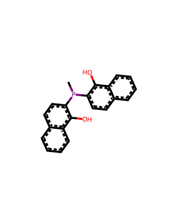 CP(c1ccc2ccccc2c1O)c1ccc2ccccc2c1O